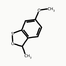 COc1ccc2c(c1)SOC2C